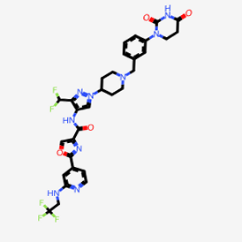 O=C1CCN(c2cccc(CN3CCC(n4cc(NC(=O)c5coc(-c6ccnc(NCC(F)(F)F)c6)n5)c(C(F)F)n4)CC3)c2)C(=O)N1